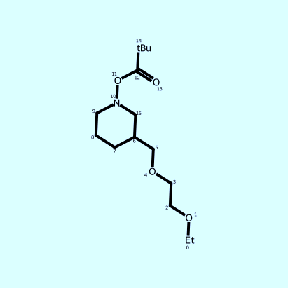 CCOCCOCC1CCCN(OC(=O)C(C)(C)C)C1